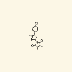 CC1=C(C)C(=O)N(C2=NN(C)C(c3ccc(Cl)cc3)C2)C1=O